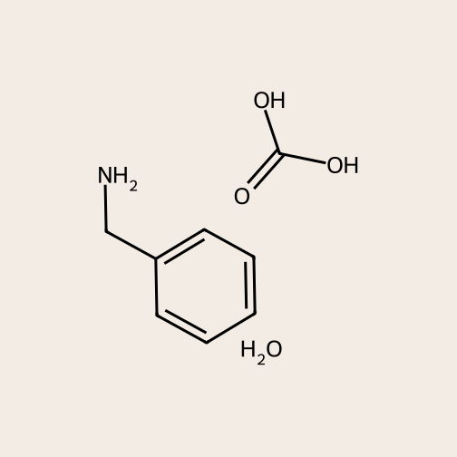 NCc1ccccc1.O.O=C(O)O